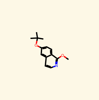 COc1nccc2cc(OC(C)(C)C)ccc12